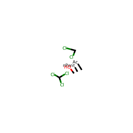 CC(C)=O.CCCCCC.CO.ClC(Cl)Cl.ClCCl